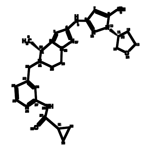 C[C@@H]1c2cc(Nc3cc(C(C)(C)C)n([C@@H]4CCOC4)n3)nn2CCN1Cc1ccnc(NC(=O)C2CC2)c1